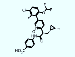 C[C@H]1C[C@@H]1C[C@@H](C(=O)Nc1ccc(C(=O)O)cc1)c1ccc(-c2c(OC(F)F)ccc(Cl)c2F)c[n+]1[O-]